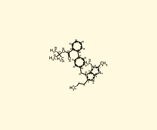 CCCc1nc2nc(C)n(C)c2n1Cc1ccc(-c2ccccc2C(=O)OC(C)(C)C)cc1